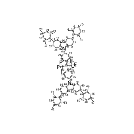 Cc1cc(C)c(-c2ccc3c(c2)c2cc(-c4c(C)cc(C)cc4C)ccc2n3-c2ccc(C(c3ccc(-n4c5ccc(-c6c(C)cc(C)cc6C)cc5c5cc(-c6c(C)cc(C)cc6C)ccc54)cc3)(C(F)(F)F)C(F)(F)F)cc2)c(C)c1